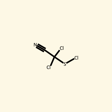 N#CC(Cl)(Cl)SCl